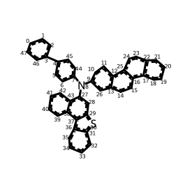 c1ccc(-c2ccc(N(c3ccc4c(ccc5c6ccccc6ccc45)c3)c3cc4sc5ccccc5c4c4ccccc34)cc2)cc1